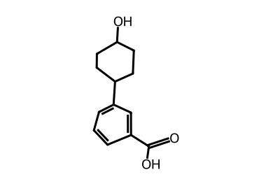 O=C(O)c1cccc(C2CCC(O)CC2)c1